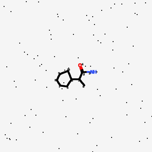 CC(C([NH])=O)C1CCCCC1